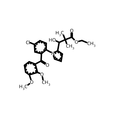 CCOC(=O)C(C)(C)C(O)c1cccn1-c1ccc(Cl)cc1C(=O)c1cccc(OC)c1OC